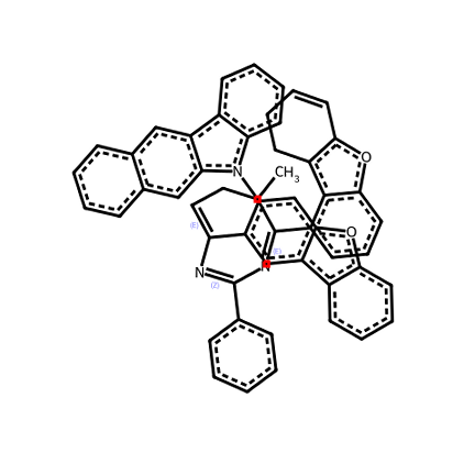 CC1C/C=C(c2cc3c(cc2-n2c4ccccc4c4cc5ccccc5cc42)oc2ccccc23)/N=C(c2ccccc2)\N=C/1c1cccc2oc3c(c12)CCC=C3